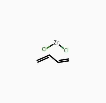 C=CC=C.[Cl][Zr][Cl]